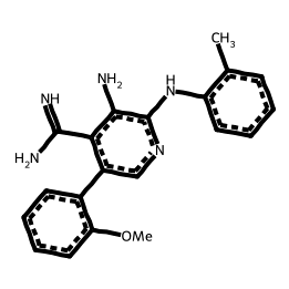 COc1ccccc1-c1cnc(Nc2ccccc2C)c(N)c1C(=N)N